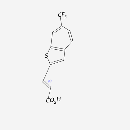 O=C(O)/C=C/c1cc2ccc(C(F)(F)F)cc2s1